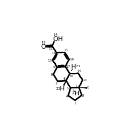 C[C@@]12CCC[C@H]1[C@@H]1CCc3cc(C(=O)O)ccc3[C@H]1CC2